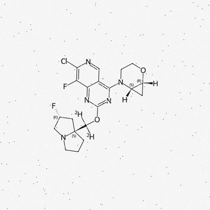 [2H]C([2H])(Oc1nc(N2CCO[C@@H]3C[C@@H]32)c2cnc(Cl)c(F)c2n1)[C@@]12CCCN1C[C@H](F)C2